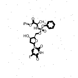 CC(C)OC(=O)[C@@H](C)NP(=O)(OC[C@H]1OC(n2cc(F)c(=O)[nH]c2=O)C[C@@H]1O)Oc1ccccc1